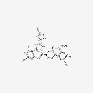 CC[C@H](NC(C)=O)c1cc(C)c(Cl)cc1C1CCN(C(=O)[C@H]2C[C@@H](N3CC[C@H](F)C3)C[C@H]2c2ccc(F)cc2F)CC1